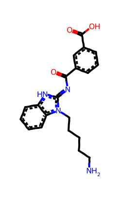 NCCCCCn1/c(=N/C(=O)c2cccc(C(=O)O)c2)[nH]c2ccccc21